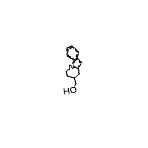 OCC1CCn2c(cc3ccccc32)C1